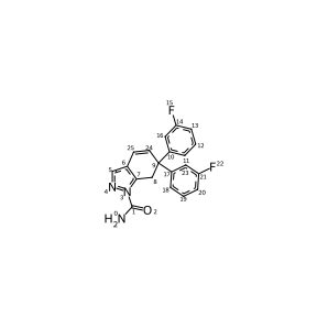 NC(=O)n1n[c]c2c1CC(c1cccc(F)c1)(c1cccc(F)c1)C=C2